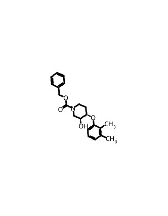 Cc1cccc(O[C@@H]2CCN(C(=O)OCc3ccccc3)C[C@@H]2O)c1C